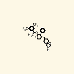 C[C@@H](O[C@H]1OCC[C@@H](CC2CCC3(CC2)CNCO3)[C@@H]1c1ccccc1)c1cc(C(F)(F)F)cc(C(F)(F)F)c1